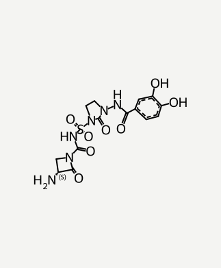 N[C@H]1CN(C(=O)NS(=O)(=O)N2CCN(NC(=O)c3ccc(O)c(O)c3)C2=O)C1=O